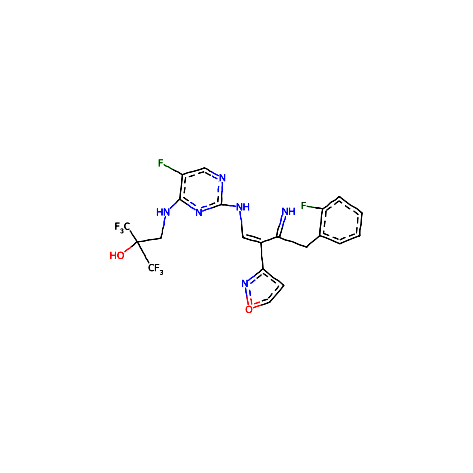 N=C(Cc1ccccc1F)/C(=C\Nc1ncc(F)c(NCC(O)(C(F)(F)F)C(F)(F)F)n1)c1ccon1